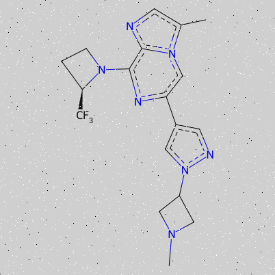 Cc1cnc2c(N3CC[C@@H]3C(F)(F)F)nc(-c3cnn(C4CN(C)C4)c3)cn12